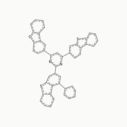 c1ccc(-c2cc(-c3nc(-c4ccc5c(c4)sc4ccccc45)cc(-c4ccc5oc6ccccc6c5c4)n3)cc3sc4ccccc4c23)cc1